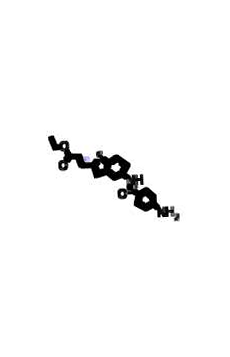 CCOC(=O)/C=C/c1cc2cc(N[S+]([O-])c3ccc(N)cc3)ccc2s1